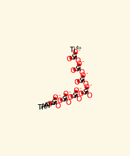 O=[Si]([O-])[O-].O=[Si]([O-])[O-].O=[Si]([O-])[O-].O=[Si]([O-])[O-].O=[Si]([O-])[O-].O=[Si]([O-])[O-].O=[Si]([O-])[O-].[Al+3].[Al+3].[Ti+4].[Ti+4]